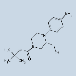 CC(C)(C)OC(=O)N1CCN(c2ccc(N)cc2)[C@H](CO)C1